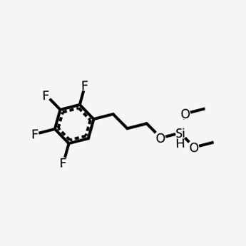 CO[SiH](OC)OCCCc1cc(F)c(F)c(F)c1F